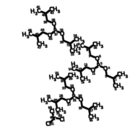 CC(C)COP(OCC(C)C)OCC(C)C.CC(C)COP(OCC(C)C)OCC(C)C.CC(C)COP(OCC(C)C)OCC(C)C.[Cl][Ir]([Cl])[Cl]